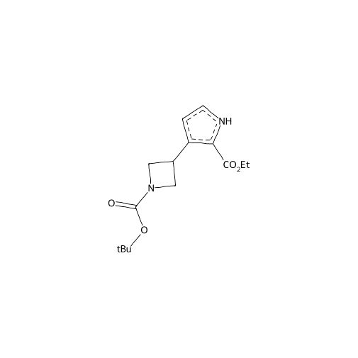 CCOC(=O)c1[nH]ccc1C1CN(C(=O)OC(C)(C)C)C1